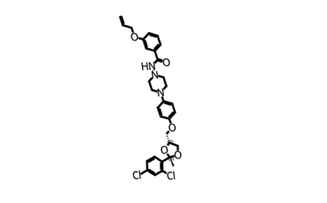 C=CCOc1cccc(C(=O)NN2CCN(c3ccc(OC[C@@H]4CO[C@](C)(c5ccc(Cl)cc5Cl)O4)cc3)CC2)c1